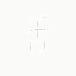 BrC(Br)C(Br)(Br)C1CCCCC1